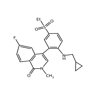 CCS(=O)(=O)c1ccc(NCC2CC2)c(-c2cn(C)c(=O)c3ccc(F)cc23)c1